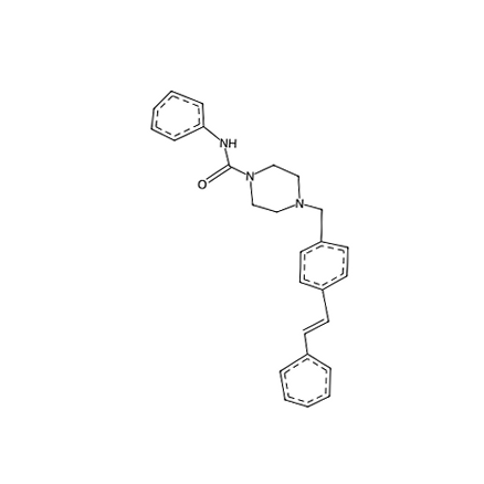 O=C(Nc1ccccc1)N1CCN(Cc2ccc(C=Cc3ccccc3)cc2)CC1